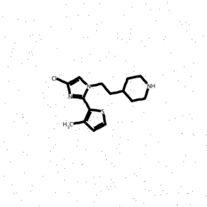 Cc1ccsc1-c1nc(Cl)cn1CCC1CCNCC1